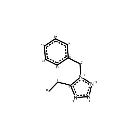 CCc1nnnn1[CH]c1ccccc1